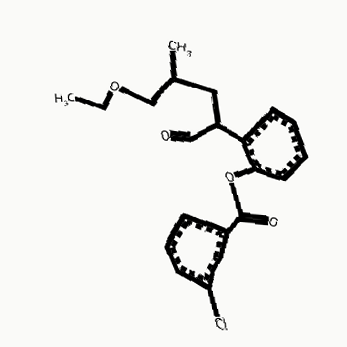 CCOCC(C)CC(C=O)c1ccccc1OC(=O)c1cccc(Cl)c1